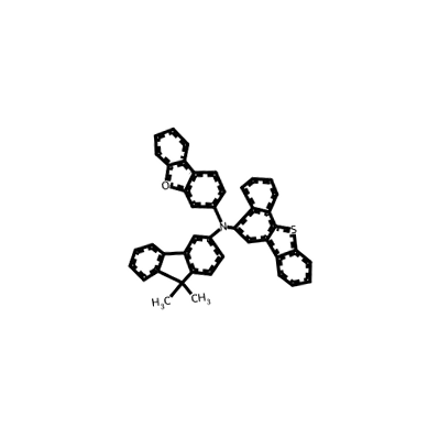 CC1(C)c2ccccc2-c2cc(N(c3ccc4c(c3)oc3ccccc34)c3cc4c5ccccc5sc4c4ccccc34)ccc21